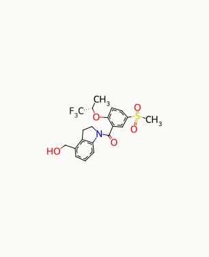 C[C@H](Oc1ccc(S(C)(=O)=O)cc1C(=O)N1CCc2c(CO)cccc21)C(F)(F)F